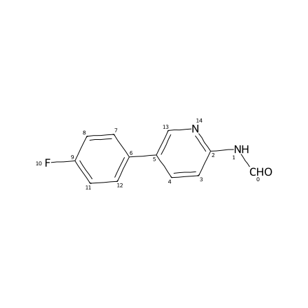 O=CNc1ccc(-c2ccc(F)cc2)cn1